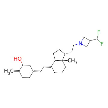 C=C1CC/C(=C/C=C2\CCCC3(C)C2CC[C@@H]3CCN2CC(C(F)F)C2)CC1O